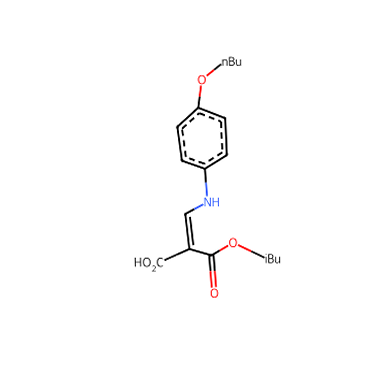 CCCCOc1ccc(NC=C(C(=O)O)C(=O)OC(C)CC)cc1